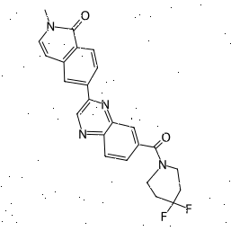 Cn1ccc2cc(-c3cnc4ccc(C(=O)N5CCC(F)(F)CC5)cc4n3)ccc2c1=O